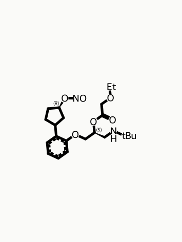 CCOCC(=O)O[C@@H](CNC(C)(C)C)COc1ccccc1C1CC[C@@H](ON=O)C1